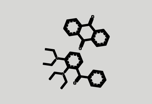 CCN(CC)c1cccc(C(=O)c2ccccc2)c1N(CC)CC.O=C1c2ccccc2C(=O)c2ccccc21